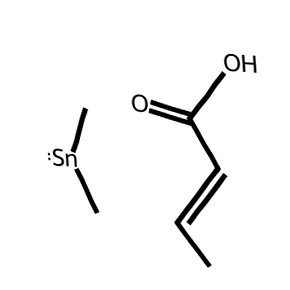 CC=CC(=O)O.[CH3][Sn][CH3]